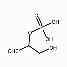 O=CC(CO)OP(=O)(O)O